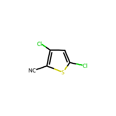 N#Cc1sc(Cl)cc1Cl